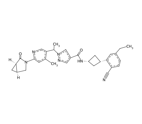 CCc1ccc(C#N)c([C@H]2C[C@@H](NC(=O)c3cnn(C(C)c4cnc(N5C[C@H]6C[C@H]6C5=O)cc4C)c3)C2)c1